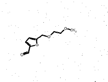 COCCOCc1ccc(C=O)o1